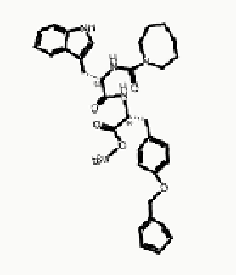 CC(C)(C)OC(=O)[C@@H](Cc1ccc(OCc2ccccc2)cc1)NC(=O)[C@H](Cc1c[nH]c2ccccc12)NC(=O)N1CCCCCC1